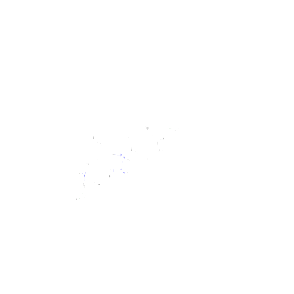 Cc1c2cnc(Cl)cc2nn1-c1ccc(F)cc1